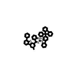 CC1C=C(/C(=N/Cn2c3ccccc3c3ccc(C4(c5ccccc5)c5ccccc5-c5ccccc54)cc32)c2ccccc2N)c2sc3c(-c4ccccc4)cccc3c2C1